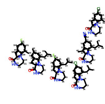 CC(C)Cc1cc(Cl)cc2cc3n(c12)CCCNC3=O.CC(C)Cc1cc(F)cc2cc3n(c12)CCCNC3=O.Cc1c2n(c3c(CC(C)C)cc(C#N)cc13)CCCNC2=O.Cc1cc(CC(C)C)c2c(c1)cc1n2CCCNC1=O.Cc1cc(Cl)cc2cc3n(c12)CCCNC3=O.Cc1cc(F)cc2cc3n(c12)CCCNC3=O